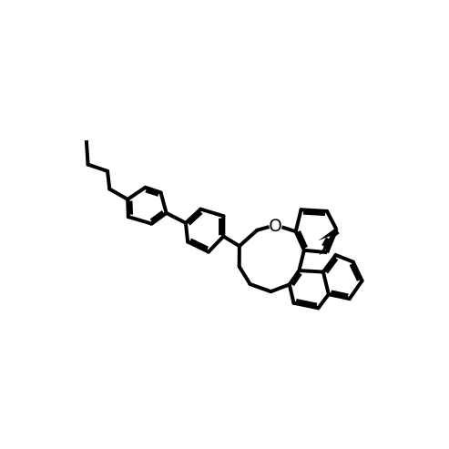 CCCCc1ccc(-c2ccc(C3CCCc4ccc5ccccc5c4-c4c(ccc5ccccc45)OC3)cc2)cc1